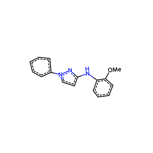 COc1ccccc1Nc1ccn(-c2ccccc2)n1